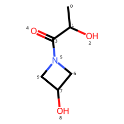 CC(O)C(=O)N1CC(O)C1